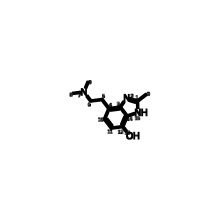 Cc1nc2c(CCN(C)C)ccc(O)c2[nH]1